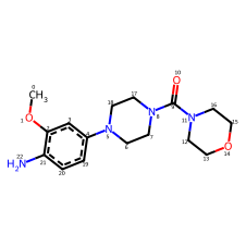 COc1cc(N2CCN(C(=O)N3CCOCC3)CC2)ccc1N